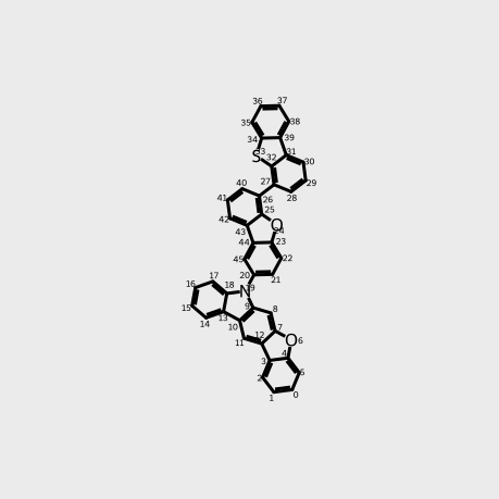 c1ccc2c(c1)oc1cc3c(cc12)c1ccccc1n3-c1ccc2oc3c(-c4cccc5c4sc4ccccc45)cccc3c2c1